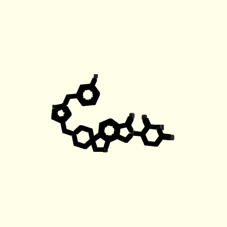 O=C1CCC(N2Cc3c(ccc4c3OCC43CCN(Cc4cnn(Cc5cccc(F)c5)c4)CC3)C2=O)C(=O)N1